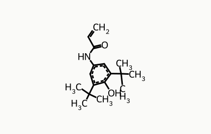 C=CC(=O)Nc1cc(C(C)(C)C)c(O)c(C(C)(C)C)c1